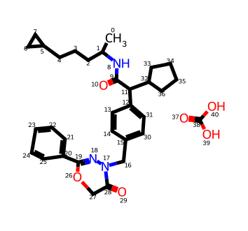 CC(CCCC1CC1)NC(=O)C(c1ccc(CN2N=C(c3ccccc3)OCC2=O)cc1)C1CCCC1.O=C(O)O